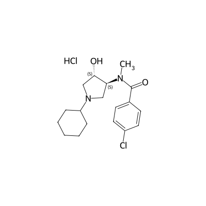 CN(C(=O)c1ccc(Cl)cc1)[C@H]1CN(C2CCCCC2)C[C@@H]1O.Cl